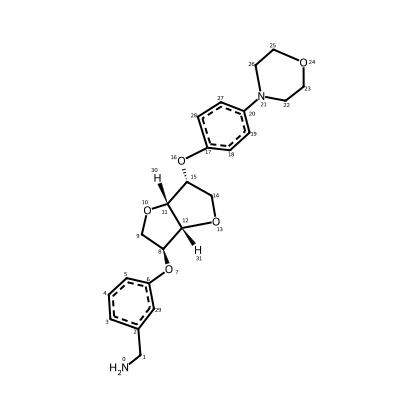 NCc1cccc(O[C@H]2CO[C@H]3[C@@H]2OC[C@H]3Oc2ccc(N3CCOCC3)cc2)c1